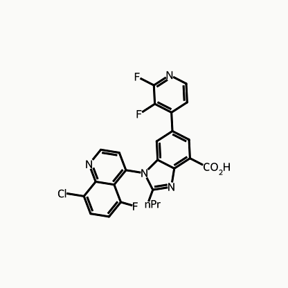 CCCc1nc2c(C(=O)O)cc(-c3ccnc(F)c3F)cc2n1-c1ccnc2c(Cl)ccc(F)c12